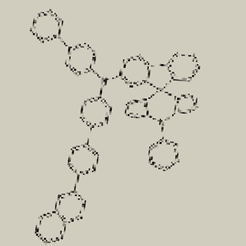 c1ccc(-c2ccc(N(c3ccc(-c4ccc(-c5ccc6ccccc6c5)cc4)cc3)c3ccc4c(c3)C3(c5ccccc5-4)c4ccccc4N(c4ccccc4)c4ccccc43)cc2)cc1